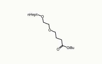 CCCCCCCOCCOCCCC(=O)OCC(C)C